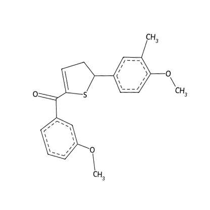 COc1cccc(C(=O)C2=CCC(c3ccc(OC)c(C)c3)S2)c1